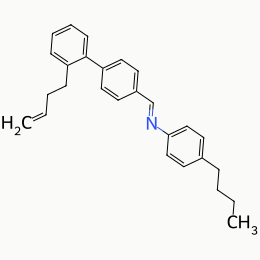 C=CCCc1ccccc1-c1ccc(C=Nc2ccc(CCCC)cc2)cc1